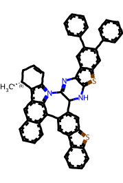 C[C@@H]1CC=Cc2c1c1cc3ccccc3c3c1n2C1=Nc2c(sc4cc(-c5ccccc5)c(-c5ccccc5)cc24)NC1c1cc2sc4ccccc4c2cc1-3